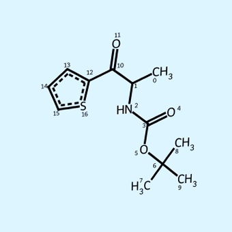 CC(NC(=O)OC(C)(C)C)C(=O)c1cccs1